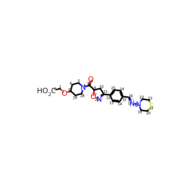 O=C(O)COC1CCN(C(=O)C2CC(c3ccc(/C=N/N4CCSCC4)cc3)=NO2)CC1